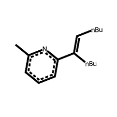 CCCCC=C(CCCC)c1cccc(C)n1